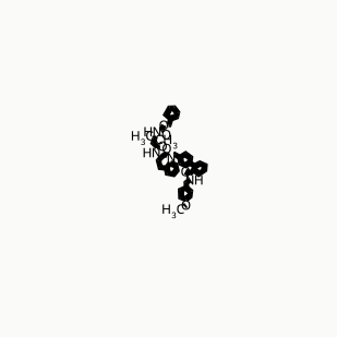 COc1ccc(CNC(=O)c2ccccc2-c2ccc(CN3C(=O)C(NC(=O)CC(C)(C)NC(=O)OCc4ccccc4)CCc4ccccc43)cc2)cc1